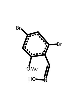 COc1cc(Br)cc(Br)c1/C=N\O